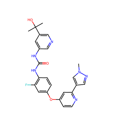 Cn1cc(-c2cc(Oc3ccc(NC(=O)Nc4cncc(C(C)(C)O)c4)c(F)c3)ccn2)cn1